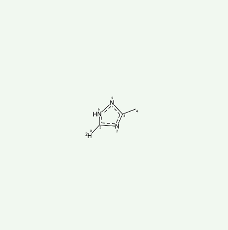 [2H]c1nc(C)n[nH]1